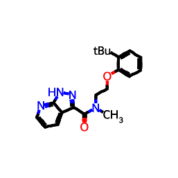 CN(CCOc1ccccc1C(C)(C)C)C(=O)c1n[nH]c2ncccc12